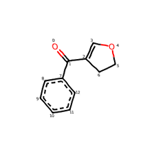 O=C(C1=COCC1)c1ccccc1